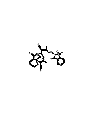 CC(CCN1C(=O)c2ccccc2S1(=O)=O)=C(C#N)C1CC(C)=C(C#N)C23CC=CC=C2C(=O)N1C3=O